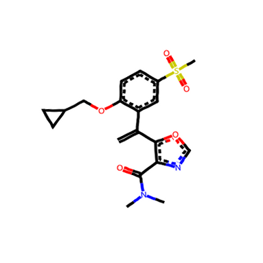 C=C(c1cc(S(C)(=O)=O)ccc1OCC1CC1)c1ocnc1C(=O)N(C)C